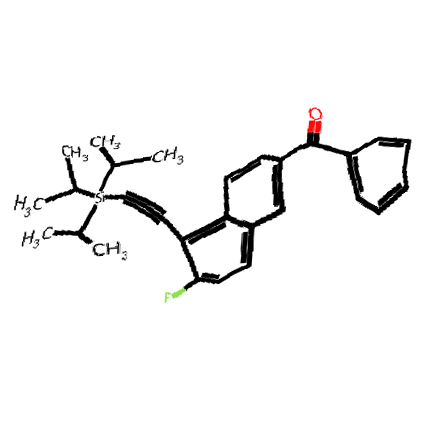 CC(C)[Si](C#Cc1c(F)ccc2cc(C(=O)c3ccccc3)ccc12)(C(C)C)C(C)C